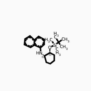 CC(C)(C)[Si](C)(C)O[C@H]1CCCC[C@@H]1Nc1cccc2ccccc12